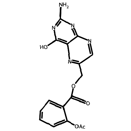 CC(=O)Oc1ccccc1C(=O)OCc1cnc2nc(N)nc(O)c2n1